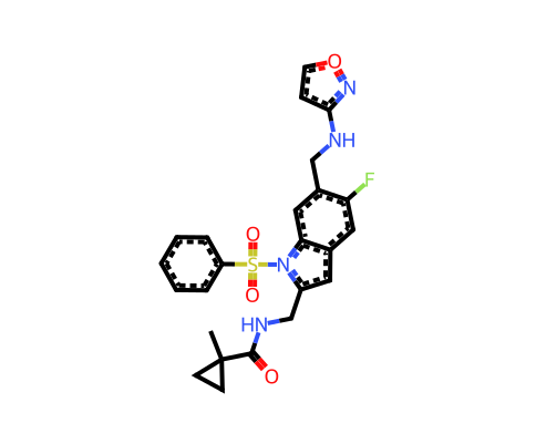 CC1(C(=O)NCc2cc3cc(F)c(CNc4ccon4)cc3n2S(=O)(=O)c2ccccc2)CC1